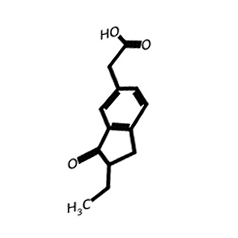 CCC1Cc2ccc(CC(=O)O)cc2C1=O